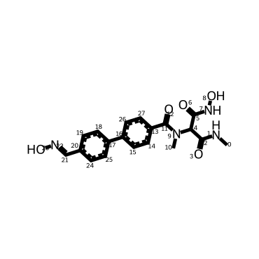 CNC(=O)C(C(=O)NO)N(C)C(=O)c1ccc(-c2ccc(/C=N/O)cc2)cc1